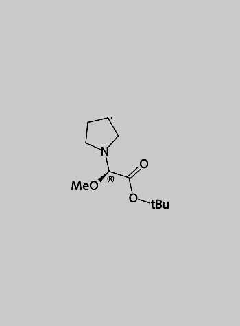 CO[C@H](C(=O)OC(C)(C)C)N1C[CH]CC1